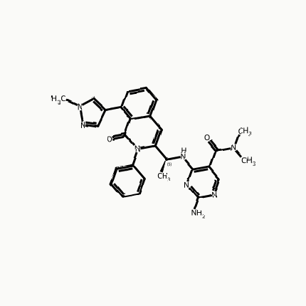 C[C@H](Nc1nc(N)ncc1C(=O)N(C)C)c1cc2cccc(-c3cnn(C)c3)c2c(=O)n1-c1ccccc1